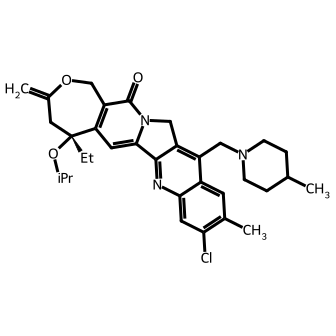 C=C1C[C@@](CC)(OC(C)C)c2cc3n(c(=O)c2CO1)Cc1c-3nc2cc(Cl)c(C)cc2c1CN1CCC(C)CC1